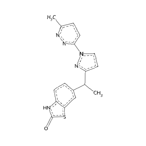 Cc1ccc(-n2ccc(C(C)c3ccc4[nH]c(=O)sc4c3)n2)nn1